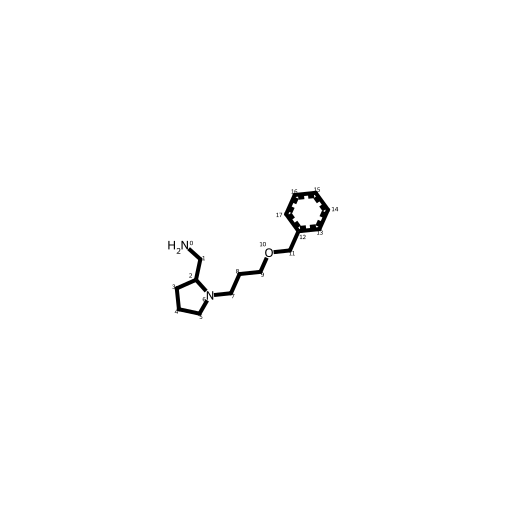 NCC1CCCN1CCCOCc1ccccc1